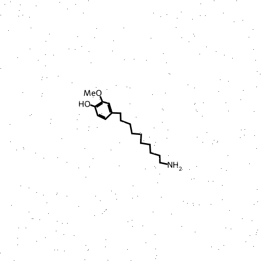 COc1cc(CCCCCCCCCCN)ccc1O